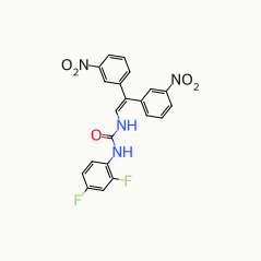 O=C(NC=C(c1cccc([N+](=O)[O-])c1)c1cccc([N+](=O)[O-])c1)Nc1ccc(F)cc1F